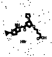 Br.N=C1c2nc(C3CC3)ccc2CN1CC(=O)c1cc(OCCCCC(=O)O)cc(N2CCCC2)c1